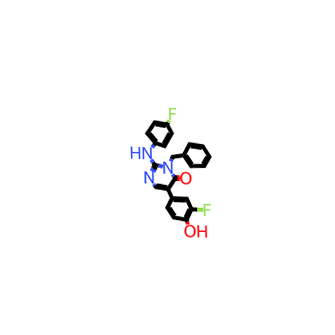 O=c1c(-c2ccc(O)c(F)c2)cnc(Nc2ccc(F)cc2)n1Cc1ccccc1